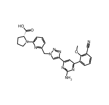 COc1c(C#N)cccc1-c1cc(-c2cn(Cc3cccc(N4CCC[C@@H]4C(=O)O)n3)nn2)nc(N)n1